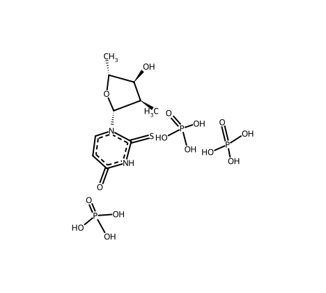 C[C@@H]1[C@H](O)[C@@H](C)O[C@H]1n1ccc(=O)[nH]c1=S.O=P(O)(O)O.O=P(O)(O)O.O=P(O)(O)O